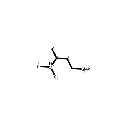 CSCCC(C)[SiH](Cl)Cl